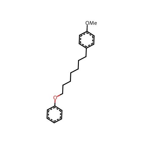 COc1ccc(CCCCCCCOc2ccccc2)cc1